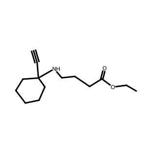 C#CC1(NCCCC(=O)OCC)CCCCC1